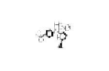 COC(=O)c1ccc(Nc2nc(C3CC3)ccc2[N+](=O)[O-])cc1